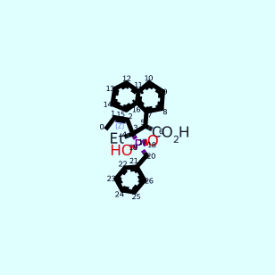 C/C=C\C(CC)(C(C(=O)O)c1cccc2ccccc12)P(=O)(O)Cc1ccccc1